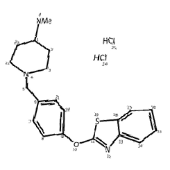 CNC1CCN(Cc2ccc(Oc3nc4ccccc4s3)cc2)CC1.Cl.Cl